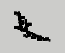 COCC(O)COCC(O)COCC(COC(COCC(CO)OCC(O)COCC(O)COC)COC(CO)CO)OC